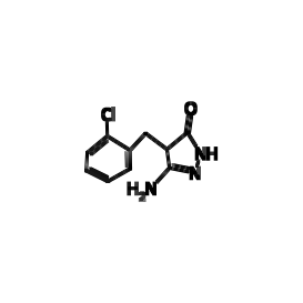 NC1=NNC(=O)C1Cc1ccccc1Cl